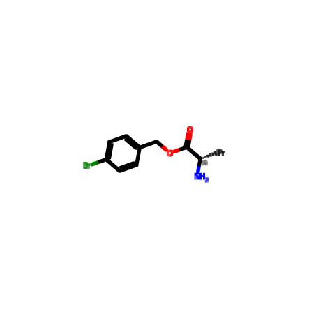 CC(C)[C@H](N)C(=O)OCc1ccc(Br)cc1